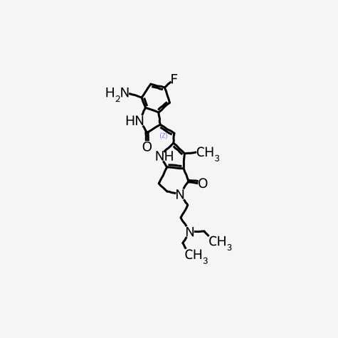 CCN(CC)CCN1CCc2[nH]c(/C=C3\C(=O)Nc4c(N)cc(F)cc43)c(C)c2C1=O